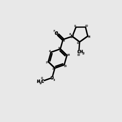 COc1ccc(C(=O)N2CCCC2C)cc1